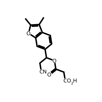 Cc1oc2cc(C(CC#N)OC(=O)CC(=O)O)ccc2c1C